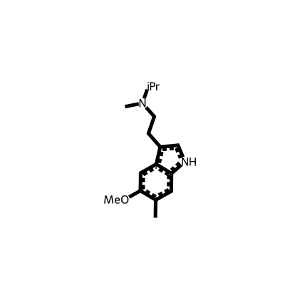 COc1cc2c(CCN(C)C(C)C)c[nH]c2cc1C